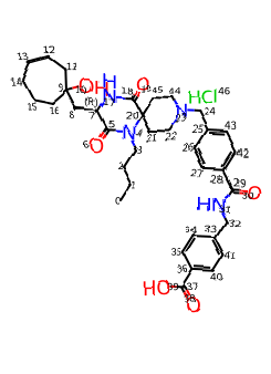 CCCCN1C(=O)[C@@H](CC2(O)CCCCCC2)NC(=O)C12CCN(Cc1ccc(C(=O)NCc3ccc(C(=O)O)cc3)cc1)CC2.Cl